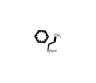 C=CCCCCCC.c1ccccc1